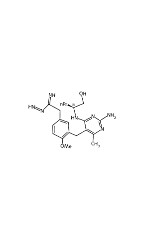 CCC[C@@H](CO)Nc1nc(N)nc(C)c1Cc1cc(CC(=N)N=N)ccc1OC